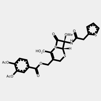 CO[C@]1(NC(=O)Cc2cccs2)C(=O)N2C(C(=O)O)=C(COC(=O)c3ccc(OC(C)=O)c(OC(C)=O)c3)CS[C@H]21